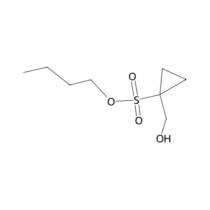 CCCCOS(=O)(=O)C1(CO)CC1